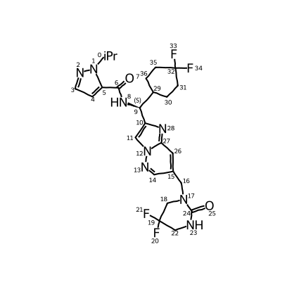 CC(C)n1nccc1C(=O)N[C@H](c1cn2ncc(CN3CC(F)(F)CNC3=O)cc2n1)C1CCC(F)(F)CC1